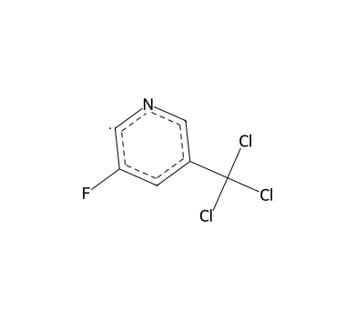 Fc1[c]ncc(C(Cl)(Cl)Cl)c1